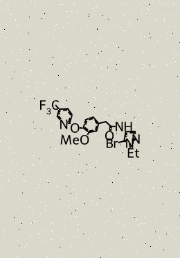 CCn1ncc(NC(=O)Cc2ccc(Oc3ccc(C(F)(F)F)cn3)c(OC)c2)c1Br